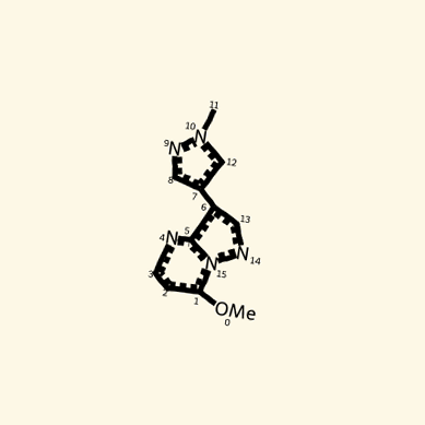 COc1ccnc2c(-c3cnn(C)c3)cnn12